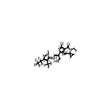 CCN(C(=O)c1cc(/C(C=N)=C/Nc2c(C(F)(F)F)c(C(F)(F)C(F)(F)F)nn2C)sc1Cl)C1(C#N)CC1